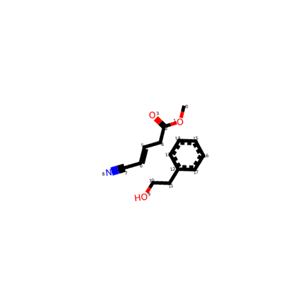 COC(=O)CC=CC#N.OCCc1ccccc1